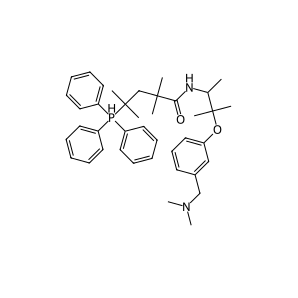 CC(NC(=O)C(C)(C)CC(C)(C)[PH](c1ccccc1)(c1ccccc1)c1ccccc1)C(C)(C)Oc1cccc(CN(C)C)c1